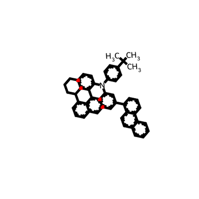 CC(C)(C)c1ccc(N(c2cccc(-c3cccc4c3ccc3ccccc34)c2)c2ccccc2-c2cccc3cccc(C4CCCCC4)c23)cc1